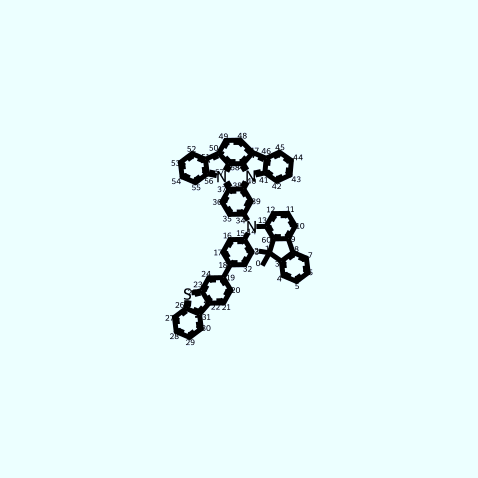 CC1(C)c2ccccc2-c2cccc(N(c3ccc(-c4ccc5c(c4)sc4ccccc45)cc3)c3ccc4c(c3)n3c5ccccc5c5ccc6c7ccccc7n4c6c53)c21